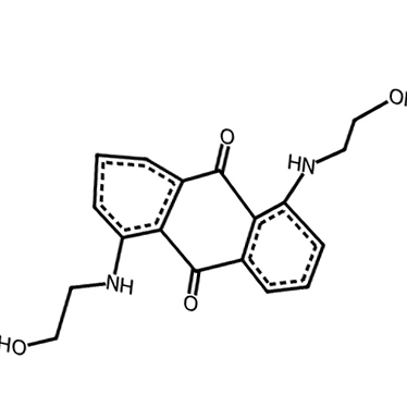 O=C1c2cccc(NCCO)c2C(=O)c2cccc(NCCO)c21